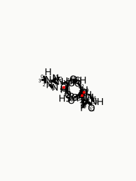 CC(C)(C)Nc1ncnc2c1ncn2[C@H]1C[C@@H]2OP(=O)(S)OC[C@H]3O[C@@H](n4cc(F)c5c(=O)[nH]cnc54)[C@H](OP(=O)(S)OC[C@H]2O1)[C@@H]3O